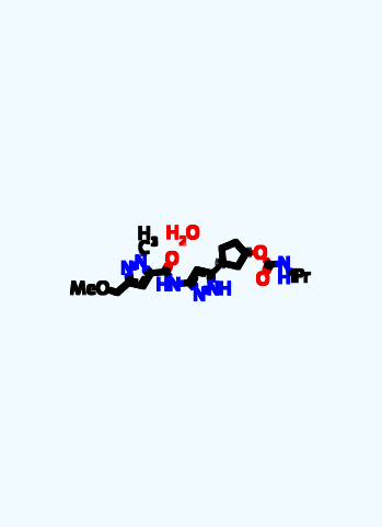 COCc1cc(C(=O)Nc2cc([C@H]3CC[C@@H](OC(=O)NC(C)C)C3)[nH]n2)n(C)n1.O